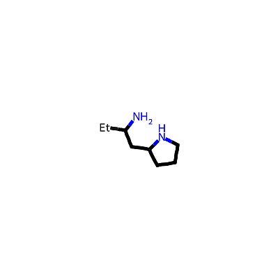 CCC(N)CC1CCCN1